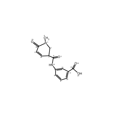 CN1CC(C(=O)Nc2cccc(C(=O)O)c2)C=CC1=O